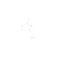 CCC(CO)NCCNC